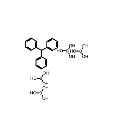 OB(O)O.OB(O)O.OB(O)O.OB(O)O.c1ccc([C](c2ccccc2)c2ccccc2)cc1